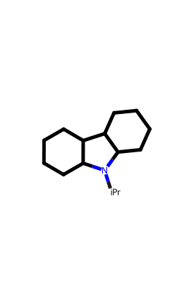 CC(C)N1C2CCCCC2C2CCCCC21